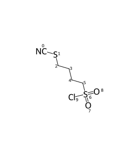 N#CSCCCCS(=O)(=O)Cl